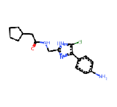 Nc1ccc(-c2nc(CNC(=O)CC3CCCC3)[nH]c2Cl)cc1